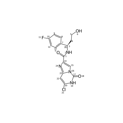 O=C(N[C@H](CCO)c1ccc(F)cc1)c1cn2c(=O)[nH]c(Cl)cc2n1